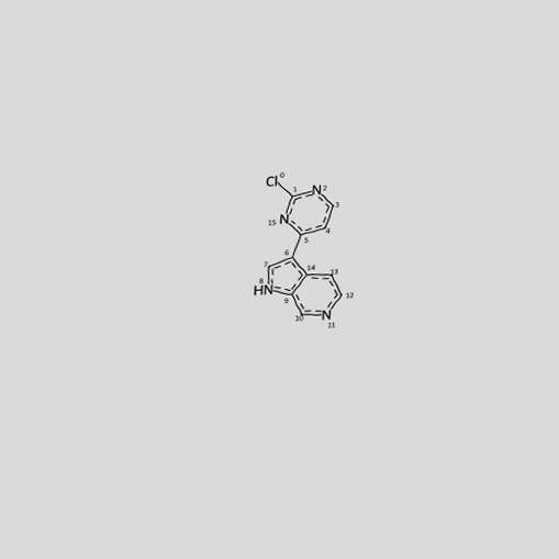 Clc1nccc(-c2c[nH]c3cnccc23)n1